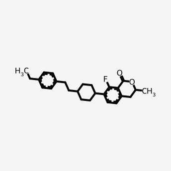 CCc1ccc(CCC2CCC(c3ccc4c(c3F)C(=O)OC(C)C4)CC2)cc1